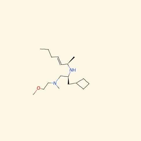 CCC/C=C/[C@@H](C)N[C@@H](CC1CCC1)CN(C)CCOC